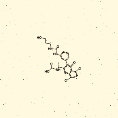 CC(NC(=O)O)c1nc2c(Cl)ccc(Cl)c2c(=O)n1-c1cccc(NC(=O)NCCCO)c1